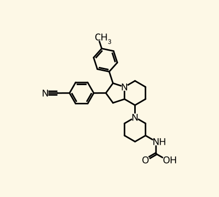 Cc1ccc(C2C(c3ccc(C#N)cc3)CC3C(N4CCCC(NC(=O)O)C4)CCCN32)cc1